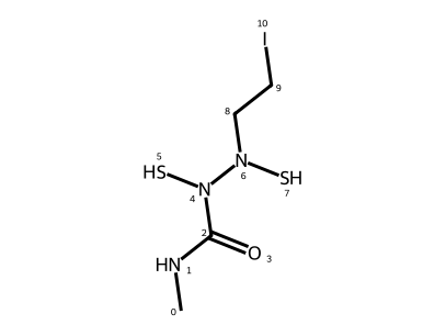 CNC(=O)N(S)N(S)CCI